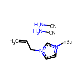 C=CC[n+]1ccn(CCCC)c1.N#CN.N#CN